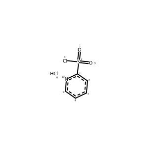 Cl.O=S(=O)(Cl)c1ccccn1